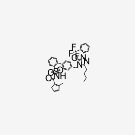 CCCCc1nn(-c2ccccc2C(F)(F)F)c(=O)n1Cc1ccc(-c2ccccc2S(=O)(=O)NC(=O)C2=C(C)C=CC2)cc1